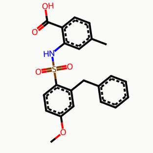 COc1ccc(S(=O)(=O)Nc2cc(C)ccc2C(=O)O)c(Cc2ccccc2)c1